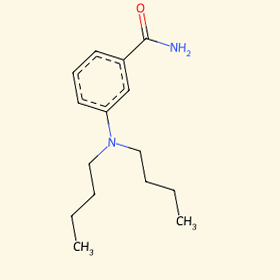 CCCCN(CCCC)c1cccc(C(N)=O)c1